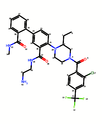 CCC1CN(C(=O)c2ccc(C(F)(F)F)cc2Cl)CCN1c1ccc(-c2ccccc2C(=O)NC)cc1C(=O)NCCN